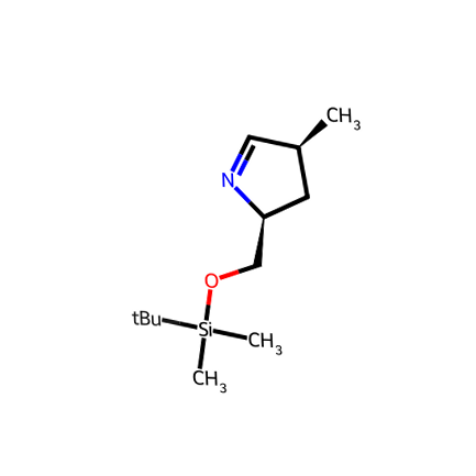 C[C@@H]1C=N[C@H](CO[Si](C)(C)C(C)(C)C)C1